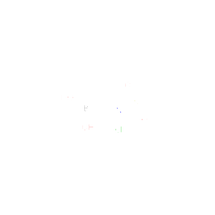 CS(=O)(=O)N(Cl)CB(O)O